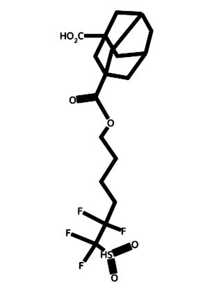 O=C(O)C12CC3CC(C1)CC(C(=O)OCCCCC(F)(F)C(F)(F)[SH](=O)=O)(C3)C2